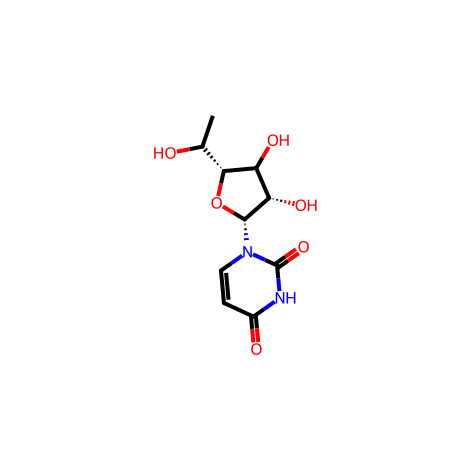 CC(O)[C@H]1O[C@@H](n2ccc(=O)[nH]c2=O)[C@@H](O)C1O